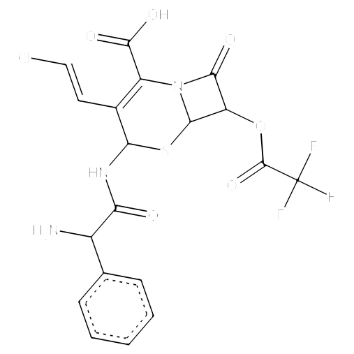 NC(C(=O)NC1SC2C(OC(=O)C(F)(F)F)C(=O)N2C(C(=O)O)=C1C=CCl)c1ccccc1